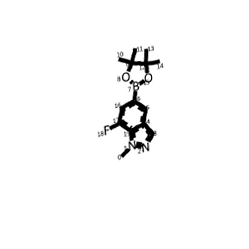 Cn1ncc2cc(B3OC(C)(C)C(C)(C)O3)cc(F)c21